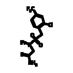 CC(C)N(CC(N)=S)S(=O)(=O)Cc1ccc(C(F)(F)F)cc1Cl